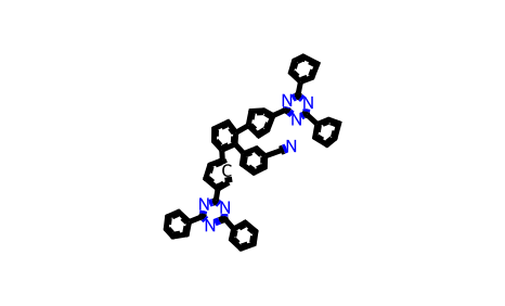 N#Cc1cccc(-c2c(-c3ccc(-c4nc(-c5ccccc5)nc(-c5ccccc5)n4)cc3)cccc2-c2ccc(-c3nc(-c4ccccc4)nc(-c4ccccc4)n3)cc2)c1